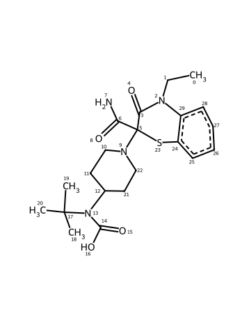 CCN1C(=O)C(C(N)=O)(N2CCC(N(C(=O)O)C(C)(C)C)CC2)Sc2ccccc21